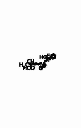 CC(C)C(CCCCCN1C(=O)CC[C@@H]1/C=C/[C@@H](O)C(F)(F)c1ccccc1)C(=O)O